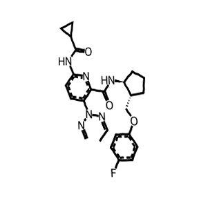 C=NN(/N=C\C)c1ccc(NC(=O)C2CC2)nc1C(=O)N[C@H]1CCC[C@@H]1COc1ccc(F)cc1